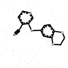 N#Cc1ccncc1Sc1ccc2c(c1)OCCO2